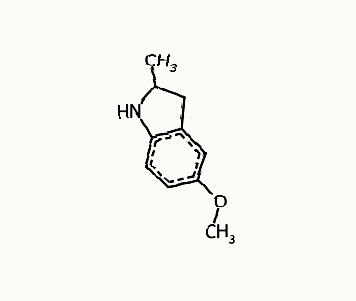 COc1ccc2c(c1)CC(C)N2